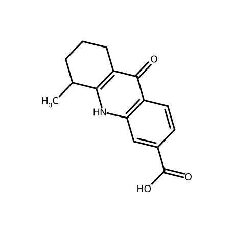 CC1CCCc2c1[nH]c1cc(C(=O)O)ccc1c2=O